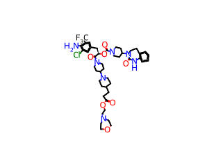 Nc1c(Cl)cc(C[C@@H](OC(=O)N2CCC(N3CCc4ccccc4NC3=O)CC2)C(=O)N2CCC(N3CCC(CCC(=O)OCCN4CCOCC4)CC3)CC2)cc1C(F)(F)F